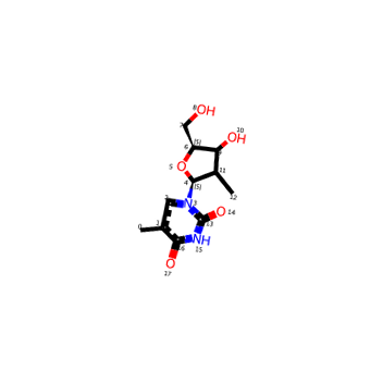 Cc1cn([C@H]2O[C@@H](CO)C(O)C2C)c(=O)[nH]c1=O